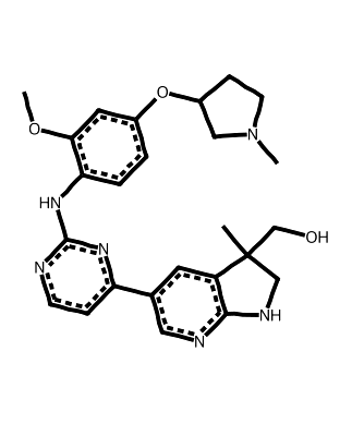 COc1cc(OC2CCN(C)C2)ccc1Nc1nccc(-c2cnc3c(c2)C(C)(CO)CN3)n1